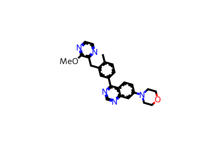 COc1nccnc1Cc1cc(-c2ncnc3cc(N4CCOCC4)ccc23)ccc1C